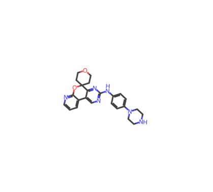 c1cnc2c(c1)-c1cnc(Nc3ccc(N4CCNCC4)cc3)nc1C1(CCOCC1)O2